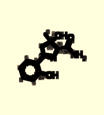 C[C@]1(O)CC(c2ccccc2O)=N[C@@H]1C(N)=O